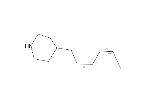 C/C=C\C=C/CC1CCNCC1